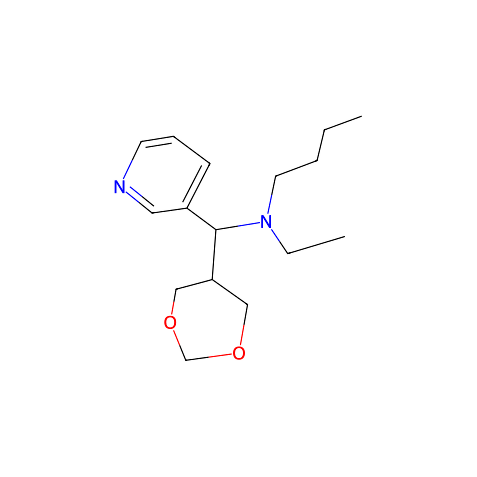 CCCCN(CC)C(c1cccnc1)C1COCOC1